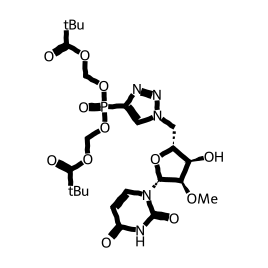 CO[C@@H]1[C@H](O)[C@@H](Cn2cc(P(=O)(OCOC(=O)C(C)(C)C)OCOC(=O)C(C)(C)C)nn2)O[C@H]1n1ccc(=O)[nH]c1=O